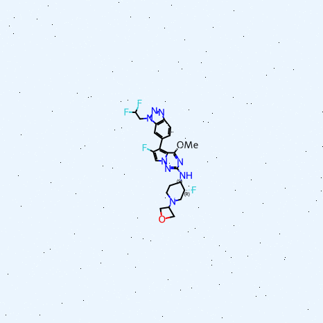 COc1nc(N[C@H]2CCN(C3COC3)C[C@H]2F)nn2cc(F)c(-c3ccc4nnn(CC(F)F)c4c3)c12